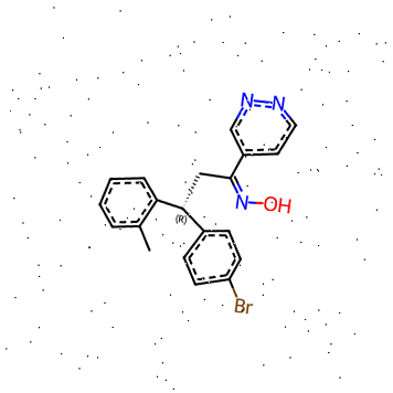 Cc1ccccc1[C@H](CC(=NO)c1ccnnc1)c1ccc(Br)cc1